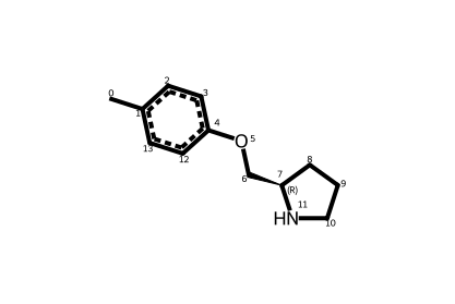 Cc1ccc(OC[C@H]2CCCN2)cc1